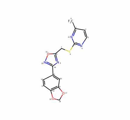 FC(F)(F)c1ccnc(SCc2nc(-c3ccc4c(c3)OCO4)no2)n1